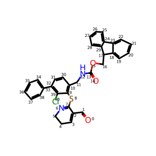 O=CC1=CCCN=C1Sc1c(CNC(=O)OCC2c3ccccc3-c3ccccc32)ccc(-c2ccccc2)c1Cl